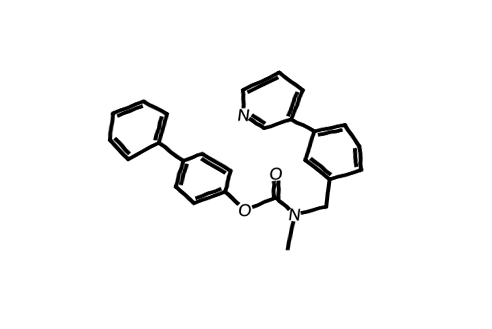 CN(Cc1cccc(-c2cccnc2)c1)C(=O)Oc1ccc(-c2ccccc2)cc1